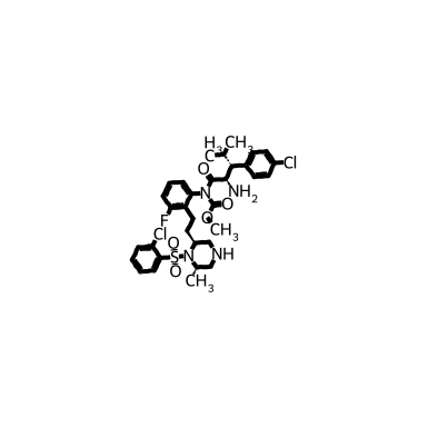 COC(=O)N(C(=O)[C@@H](N)[C@@H](c1ccc(Cl)cc1)C(C)C)c1cccc(F)c1CC[C@H]1CNC[C@H](C)N1S(=O)(=O)c1ccccc1Cl